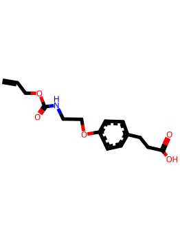 C=CCOC(=O)NCCOc1ccc(CCC(=O)O)cc1